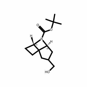 CC(C)(C)OC(=O)N1[C@H]2CCC23CC(CO)C[C@H]13